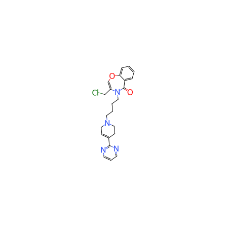 O=C1c2ccccc2OC=C(CCl)N1CCCCN1CC=C(c2ncccn2)CC1